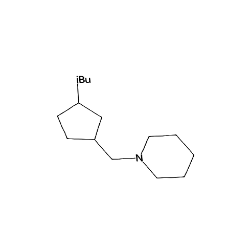 CCC(C)C1CCC(CN2CCCCC2)C1